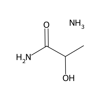 CC(O)C(N)=O.N